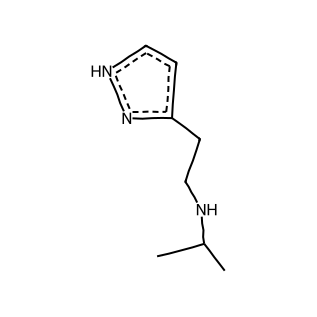 CC(C)NCCc1cc[nH]n1